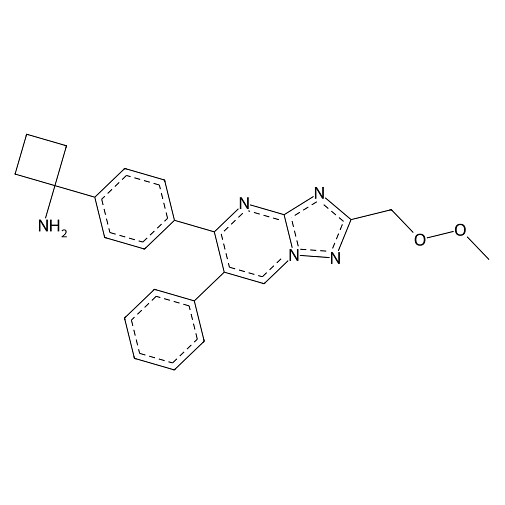 COOCc1nc2nc(-c3ccc(C4(N)CCC4)cc3)c(-c3ccccc3)cn2n1